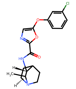 C[C@H]1[C@H](NC(=O)c2ncc(Oc3cccc(Cl)c3)o2)C2CCN1CC2